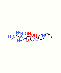 CN1CCC2(CC1)CN(C[C@H]1O[C@@H](n3cnc4c(N)ncnc43)[C@H](O)[C@@H]1O)C2